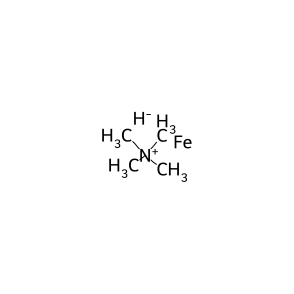 C[N+](C)(C)C.[Fe].[H-]